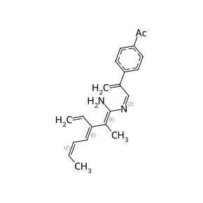 C=CC(=C\C=C/C)/C(C)=C(N)/N=C\C(=C)c1ccc(C(C)=O)cc1